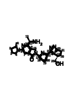 C[C@@H]1CCCN1c1cc2c(c([C@@H](C)N)n1)CN(c1cccc(-c3nnc4n3[C@@H](CO)CC4)n1)C2=O